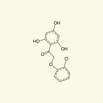 O=C(COc1ccccc1Cl)c1c(O)cc(O)cc1O